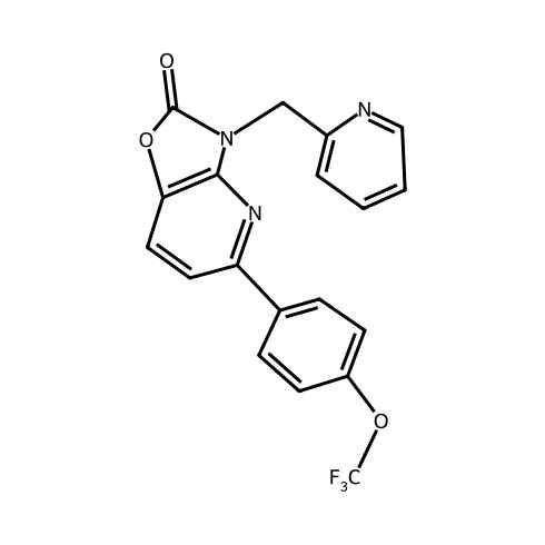 O=c1oc2ccc(-c3ccc(OC(F)(F)F)cc3)nc2n1Cc1ccccn1